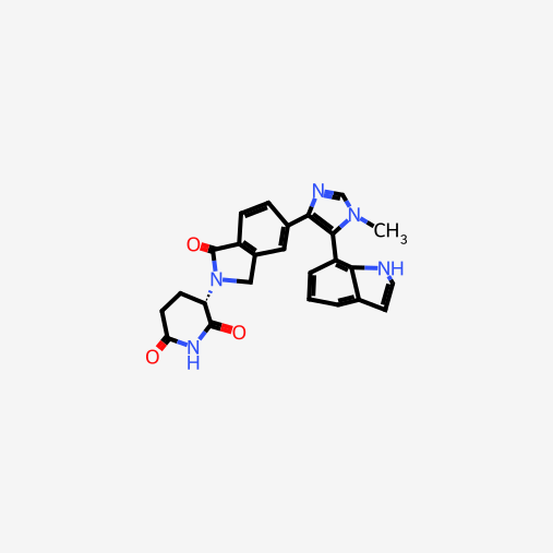 Cn1cnc(-c2ccc3c(c2)CN([C@H]2CCC(=O)NC2=O)C3=O)c1-c1cccc2cc[nH]c12